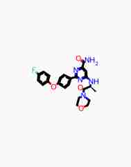 C[C@H](Nc1cc(C(N)=O)nc(-c2ccc(Oc3ccc(F)cc3)cc2)n1)C(=O)N1CCOCC1